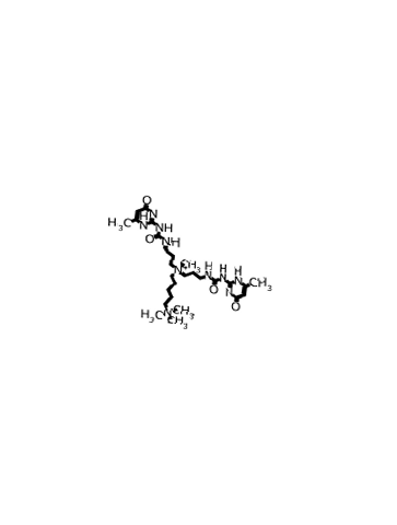 Cc1cc(=O)nc(NC(=O)NCCC[N+](C)(CCCCC[N+](C)(C)C)CCCNC(=O)Nc2nc(=O)cc(C)[nH]2)[nH]1